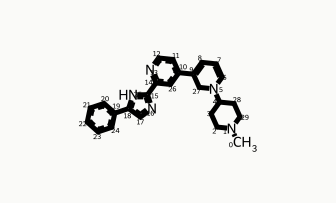 CN1CCC(N2C=CC=C(c3ccnc(-c4ncc(-c5ccccc5)[nH]4)c3)C2)CC1